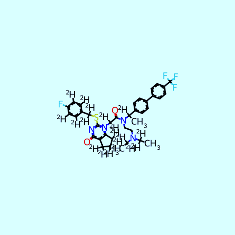 [2H]c1c([2H])c(C([2H])([2H])Sc2nc(=O)c3c(n2C([2H])([2H])C(=O)N(CCN(C([2H])([2H])C)C([2H])([2H])C)C([2H])(C)c2ccc(-c4ccc(C(F)(F)F)cc4)cc2)C([2H])([2H])C([2H])([2H])C3([2H])[2H])c([2H])c([2H])c1F